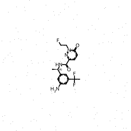 C[C@@H](NC(=O)c1ccc(=O)n(CCF)n1)c1cc(N)cc(C(C)(F)F)c1